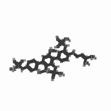 CCOc1c(-c2ccc(OS(C)(=O)=O)cc2)cc(OC)c(-c2ccc(OCC=C(C)C)c(OS(C)(=O)=O)c2)c1OS(C)(=O)=O